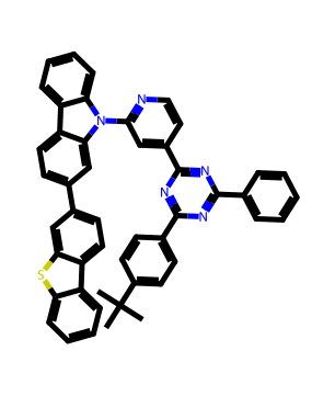 CC(C)(C)c1ccc(-c2nc(-c3ccccc3)nc(-c3ccnc(-n4c5ccccc5c5ccc(-c6ccc7c(c6)sc6ccccc67)cc54)c3)n2)cc1